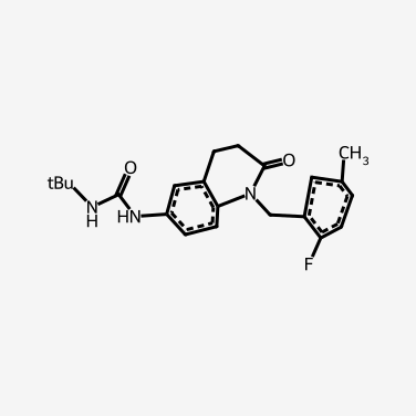 Cc1ccc(F)c(CN2C(=O)CCc3cc(NC(=O)NC(C)(C)C)ccc32)c1